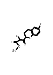 CC(C)(C)OC(=O)C(Cl)C(=O)C1CCc2cc(F)ccc2O1